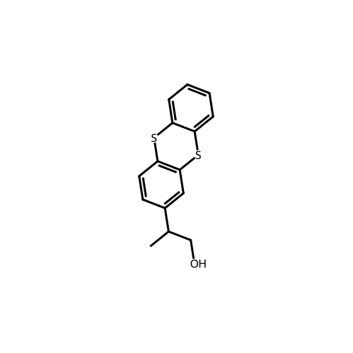 CC(CO)c1ccc2c(c1)Sc1ccccc1S2